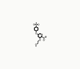 COCCOc1cc(Oc2ccc(S(C)(=O)=O)cc2)cnc1[N+](=O)[O-]